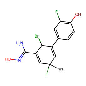 CCCC1(F)C=C(/C(N)=N/O)C(Br)C(c2ccc(O)c(F)c2)=C1